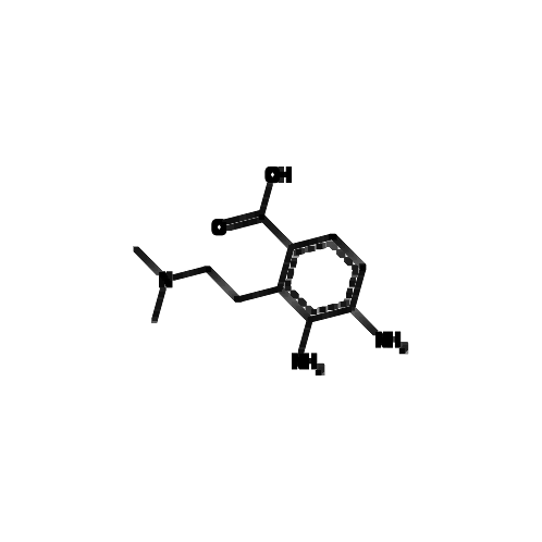 CN(C)CCc1c(C(=O)O)ccc(N)c1N